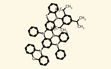 CC(C)c1cc(C(C)C)c(B2c3ccccc3Sc3cc4c(cc32)B2c3ccccc3N(c3ccccc3)c3cc(N5c6ccccc6Oc6ccccc65)cc(c32)N4c2ccccc2)c(C(C)C)c1